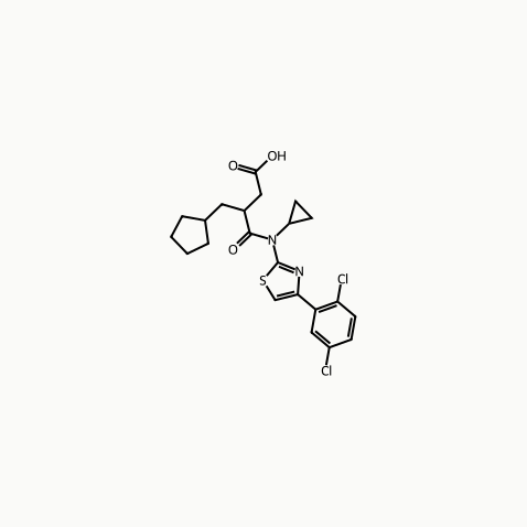 O=C(O)CC(CC1CCCC1)C(=O)N(c1nc(-c2cc(Cl)ccc2Cl)cs1)C1CC1